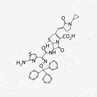 Nc1nc(C(=NOC(c2ccccc2)(c2ccccc2)c2ccccc2)C(=O)N[C@@H]2C(=O)N3C(C(=O)O)=C(C=C4CCN(C5CC5)C4=O)CS[C@H]23)cs1